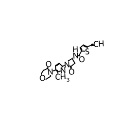 C#Cc1ccc(C(=O)N[C@@H]2CC(=O)N(c3ccc(N4CCOCCC4=O)c(C)n3)C2)s1